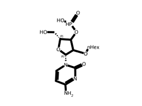 CCCCCCOC1C(O[PH](=O)O)[C@@H](CO)O[C@H]1n1ccc(N)nc1=O